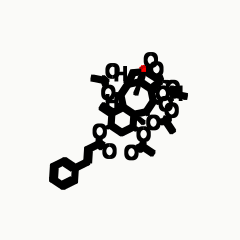 C=C1[C@@H](OC(=O)/C=C/c2ccccc2)C[C@H](OC(C)=O)[C@@]2(C)[C@@H](OC(C)=O)[C@H](OC(C)=O)[C@]3(O)[C@@]4(C)CO[C@]3(C)C(=O)C[C@H]4[C@@H](OC(C)=O)[C@H]12